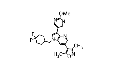 COc1ncc(-c2cn(CC3CCC(F)(F)CC3)c3cc(-c4c(C)noc4C)cnc23)cn1